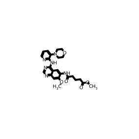 COC(=O)CCCC(=O)Nc1cc2c(Nc3ncccc3N3CCOCC3)ncnc2cc1OC